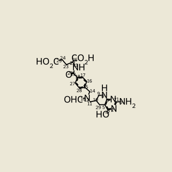 Nc1nc(O)c2c(n1)NCC(CN(C=O)Cc1ccc(C(=O)NC(CCC(=O)O)C(=O)O)cc1)C2